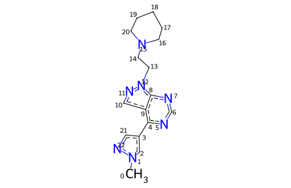 Cn1cc(-c2ncnc3c2cnn3CCN2CCCCC2)cn1